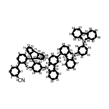 N#Cc1cccc(-c2cccc3c2Sc2ccc(-n4c5ccccc5c5cc(-c6cccc7c6c6ccccc6n7-c6cccc(-n7c8ccccc8c8ccccc87)c6)ccc54)cc2C32c3ccccc3-c3ccccc32)c1